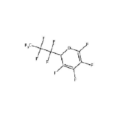 FC1=C(F)C(F)=C(F)C(C(F)(F)C(F)(F)C(F)(F)F)O1